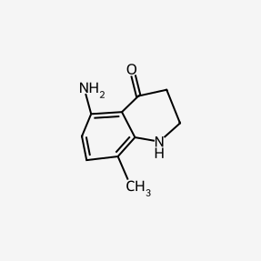 Cc1ccc(N)c2c1NCCC2=O